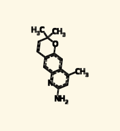 Cc1cc(N)nc2cc3c(cc12)OC(C)(C)C=C3